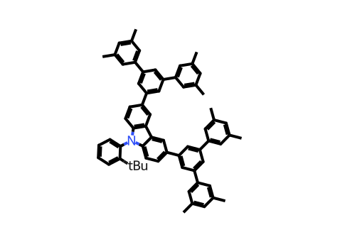 Cc1cc(C)cc(-c2cc(-c3cc(C)cc(C)c3)cc(-c3ccc4c(c3)c3cc(-c5cc(-c6cc(C)cc(C)c6)cc(-c6cc(C)cc(C)c6)c5)ccc3n4-c3ccccc3C(C)(C)C)c2)c1